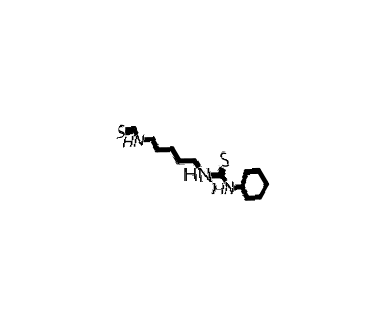 S=CNCCCCCNC(=S)NC1CCCCC1